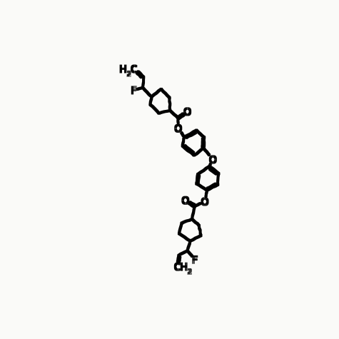 C=CC(F)C1CCC(C(=O)Oc2ccc(Oc3ccc(OC(=O)C4CCC(C(F)C=C)CC4)cc3)cc2)CC1